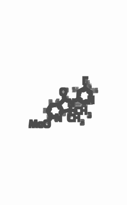 COc1ccc2c(n1)C(C)(C)N(c1cncc(F)c1)C2=O